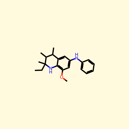 CCC1(C)Nc2c(OC)cc(Nc3ccccc3)cc2C(C)C1C